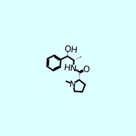 C[C@H](NC(=O)[C@@H]1CCCN1C)[C@@H](O)c1ccccc1